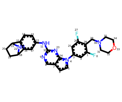 Fc1cc(-n2ccc3cnc(Nc4ccc5c(c4)C4CCC5N4)nc32)cc(F)c1CN1CCOCC1